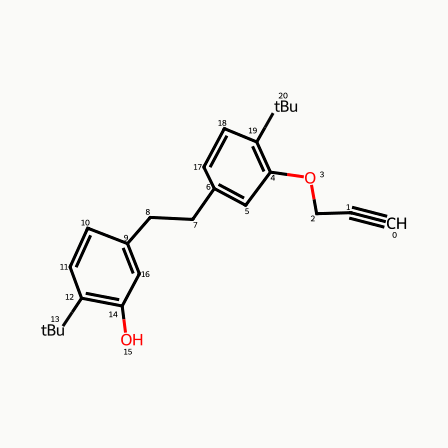 C#CCOc1cc(CCc2ccc(C(C)(C)C)c(O)c2)ccc1C(C)(C)C